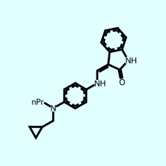 CCCN(CC1CC1)c1ccc(NC=C2C(=O)Nc3ccccc32)cc1